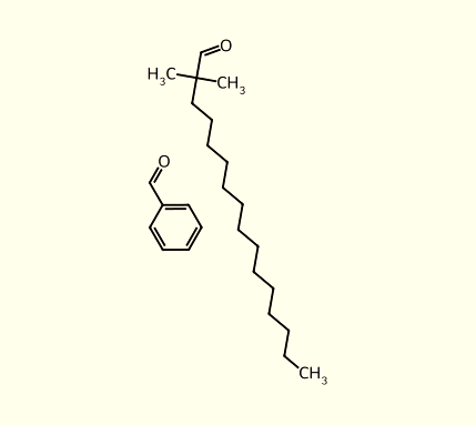 CCCCCCCCCCCCCCC(C)(C)C=O.O=Cc1ccccc1